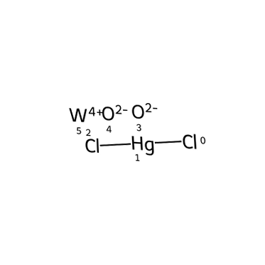 [Cl][Hg][Cl].[O-2].[O-2].[W+4]